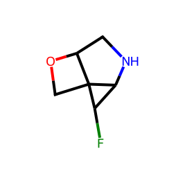 FC1C2NCC3OCC312